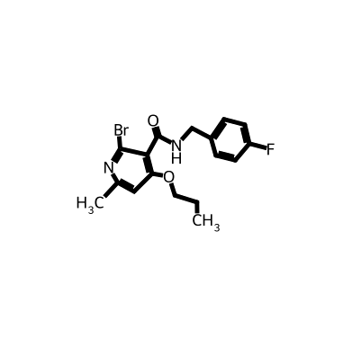 CCCOc1cc(C)nc(Br)c1C(=O)NCc1ccc(F)cc1